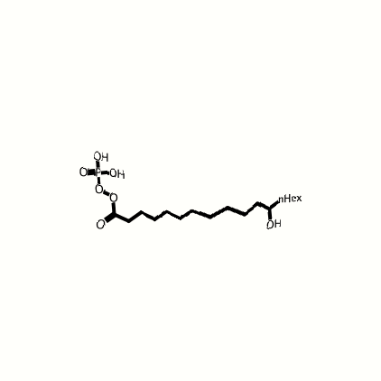 CCCCCCC(O)CCCCCCCCCCC(=O)OOP(=O)(O)O